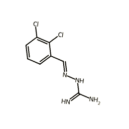 N=C(N)NN=Cc1cccc(Cl)c1Cl